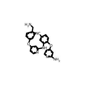 N#Cc1ccc(Oc2ccnc(N)c2)c(Nc2cc(Oc3ccc(CN)cc3)ccn2)c1